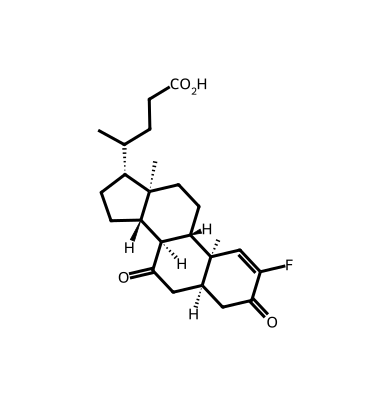 CC(CCC(=O)O)[C@H]1CC[C@H]2[C@@H]3C(=O)C[C@@H]4CC(=O)C(F)=C[C@]4(C)[C@H]3CC[C@]12C